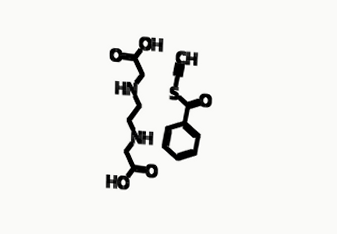 C#CSC(=O)c1ccccc1.O=C(O)CNCCNCC(=O)O